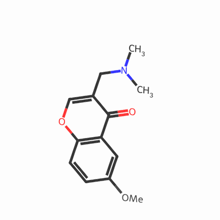 COc1ccc2occ(CN(C)C)c(=O)c2c1